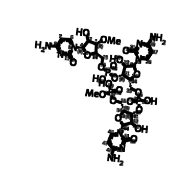 CO[C@@H]1C(O)[C@H](n2ccc(N)nc2=O)O[C@@H]1COP(=O)(O)O[C@@H]1C(O)[C@H](n2ccc(N)nc2=O)O[C@@H]1COP(=O)(O)O[C@@H]1C(O)[C@H](n2ccc(N)nc2=O)O[C@@H]1COP(=O)(O)OC